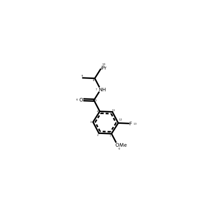 COc1ccc(C(=O)NC(C)C(C)C)cc1F